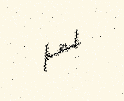 CCCCCCCCC(CCCCCCCC)OC(=O)CCCCCCCN(CCO)CCCCCCCOC(=O)C(CC)COCCCCCC